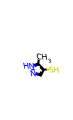 Cc1[nH]ncc1S